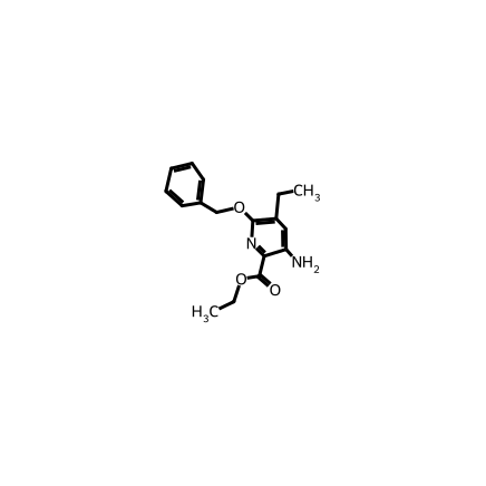 CCOC(=O)c1nc(OCc2ccccc2)c(CC)cc1N